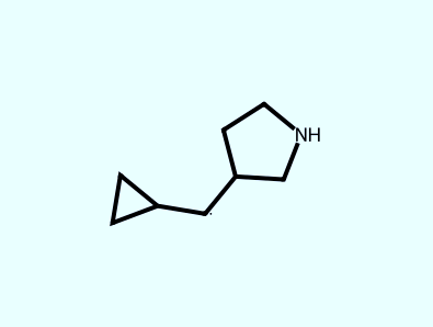 [CH](C1CC1)C1CCNC1